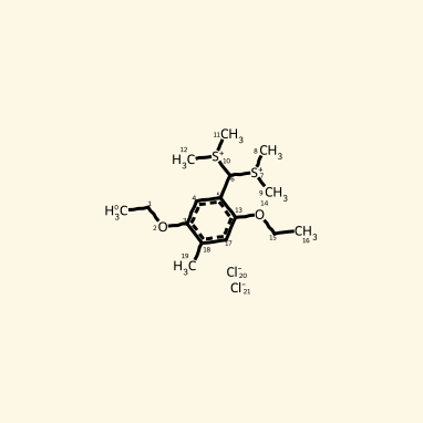 CCOc1cc(C([S+](C)C)[S+](C)C)c(OCC)cc1C.[Cl-].[Cl-]